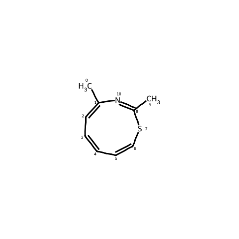 Cc1cccccsc(C)n1